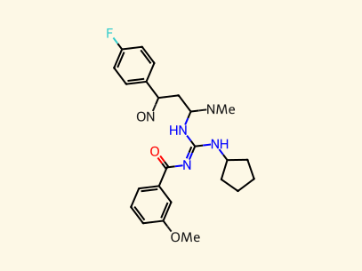 CNC(CC(N=O)c1ccc(F)cc1)N/C(=N\C(=O)c1cccc(OC)c1)NC1CCCC1